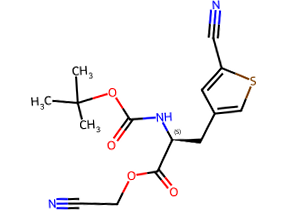 CC(C)(C)OC(=O)N[C@@H](Cc1csc(C#N)c1)C(=O)OCC#N